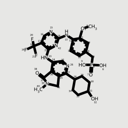 COc1cc(CP(=O)(O)O)ccc1Nc1ncc(C(F)(F)F)c(Nc2cnc(C3CCC(O)CC3)c3c2C(=O)N(C)C3)n1